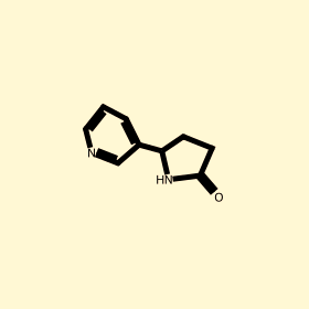 O=C1CCC(c2cccnc2)N1